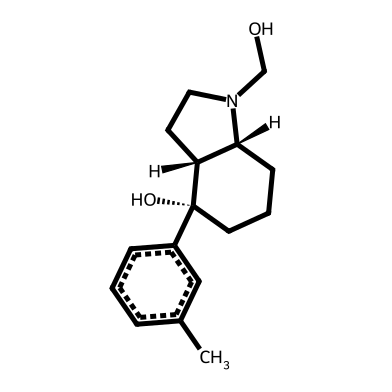 Cc1cccc([C@]2(O)CCC[C@@H]3[C@H]2CCN3CO)c1